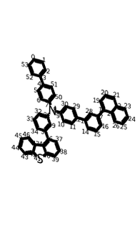 c1ccc(-c2ccc(N(c3ccc(-c4cccc(-c5cccc6ccccc56)c4)cc3)c3cccc(-c4cccc5sc6ccccc6c45)c3)cc2)cc1